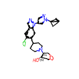 O[C@@H]1COC[C@@H]1N1CCC(c2cc3c(cnn3-c3cnn(C45CC(C4)C5)c3)cc2Cl)CC1